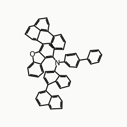 c1ccc(-c2ccc(N(c3ccc(-c4cccc5ccccc45)c4ccccc34)c3ccc(-c4cccc5cccc(-c6ccccc6)c45)c4oc5ccccc5c34)cc2)cc1